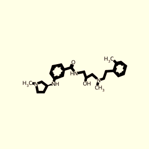 Cc1ccccc1CCN(C)CC(O)CNC(=O)c1cccc(N[C@H]2CCN(C)C2)c1